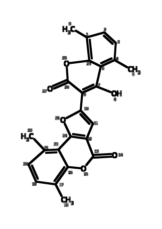 Cc1ccc(C)c2c(O)c(-c3cc4c(=O)oc5c(C)ccc(C)c5c4o3)c(=O)oc12